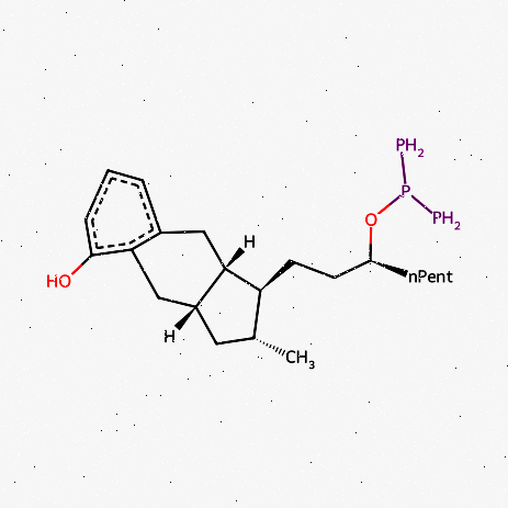 CCCCC[C@@H](CC[C@@H]1[C@H]2Cc3cccc(O)c3C[C@H]2C[C@H]1C)OP(P)P